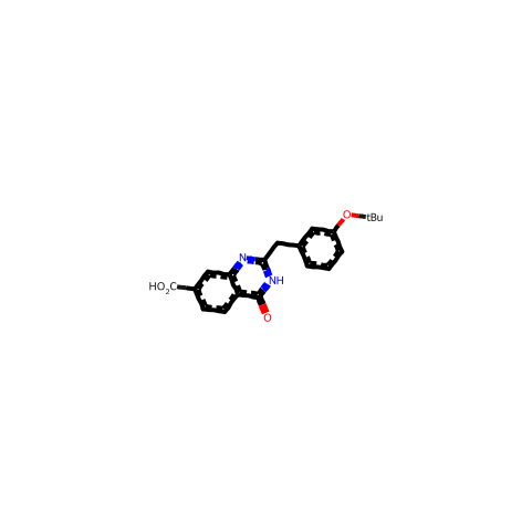 CC(C)(C)Oc1cccc(Cc2nc3cc(C(=O)O)ccc3c(=O)[nH]2)c1